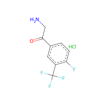 Cl.NCC(=O)c1ccc(F)c(C(F)(F)F)c1